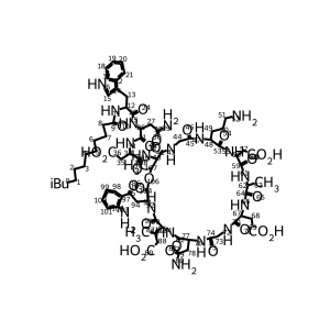 CCC(C)CCCCCCCCC(=O)NC(Cc1c[nH]c2ccccc12)C(=O)NC(CC(N)=O)C(=O)NC(CC(=O)O)C(=O)NC1C(=O)NCC(=O)NC(CCCN)C(=O)NC(CC(=O)O)C(=O)NC(C)C(=O)NC(CC(=O)O)C(=O)NCC(=O)NC(CC(N)=O)C(=O)NC(C(C)CC(=O)O)C(=O)NC(CC(=O)c2ccccc2N)C(=O)OC1C